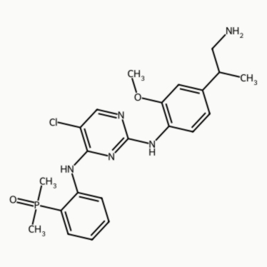 COc1cc(C(C)CN)ccc1Nc1ncc(Cl)c(Nc2ccccc2P(C)(C)=O)n1